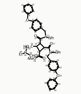 CCCN(Cc1ccc(Oc2ccccc2)cc1)C(=O)C1C(C(=O)O)C(C(=O)OC)C1C(=O)N(CCC)Cc1ccc(Oc2ccccc2)cc1.CCN(C=O)CC